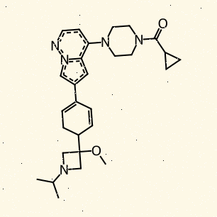 COC1(C2C=CC(c3cc4c(N5CCN(C(=O)C6CC6)CC5)ccnn4c3)=CC2)CN(C(C)C)C1